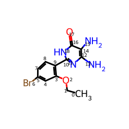 CCOc1cc(Br)ccc1-c1nc(N)c(N)c(=O)[nH]1